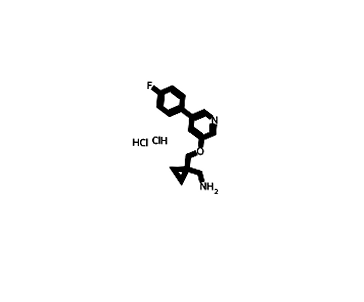 Cl.Cl.NCC1(COc2cncc(-c3ccc(F)cc3)c2)CC1